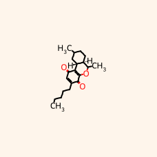 CCCCCC1=CC(=O)C2=C(OC(C)[C@@H]3CCC(C)C[C@@H]23)C1=O